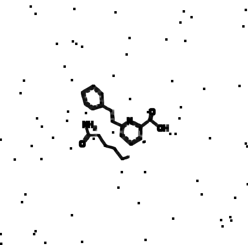 CCCCCC(N)=O.O=C(O)c1cccc(C=Cc2ccccc2)n1